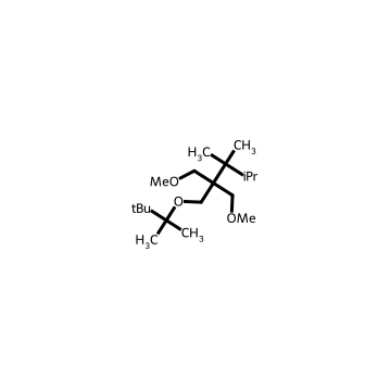 COCC(COC)(COC(C)(C)C(C)(C)C)C(C)(C)C(C)C